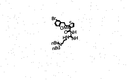 CCCCN(CCCC)CCCNC(=N)NC(=O)c1ccsc1CCc1cc(Br)ccc1OC